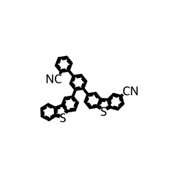 N#Cc1ccc2sc3ccc(-c4ccc(-c5ccccc5C#N)cc4-c4ccc5sc6ccccc6c5c4)cc3c2c1